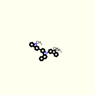 Cn1c2ccccc2c2ccc(-c3ccc4c(c3)c3c5ccccc5ccc3n4-c3ccc4c(c3)-c3ccccc3C4(C)C)cc21